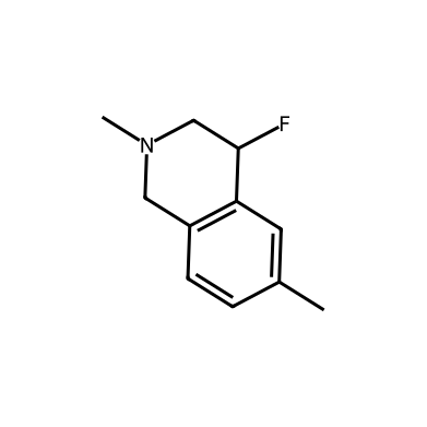 Cc1ccc2c(c1)C(F)CN(C)C2